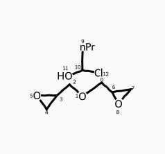 C(OCC1CO1)C1CO1.CCCC(O)Cl